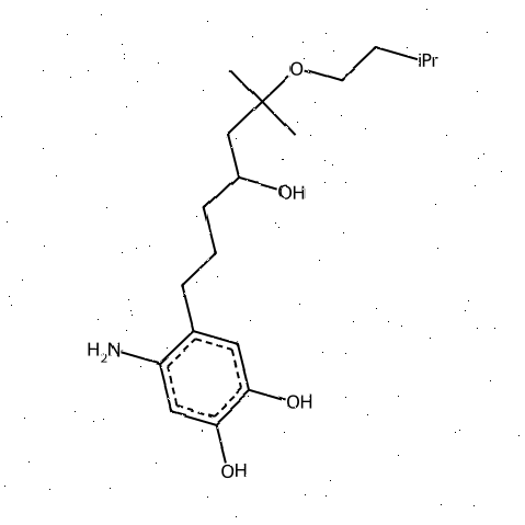 CC(C)CCOC(C)(C)CC(O)CCCc1cc(O)c(O)cc1N